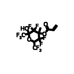 C=CC(=O)OC1(C)C(F)(F)C(C(F)(F)F)OC(O)(C(F)(F)F)C1(F)F